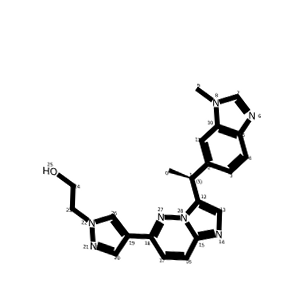 C[C@@H](c1ccc2ncn(C)c2c1)c1cnc2ccc(-c3cnn(CCO)c3)nn12